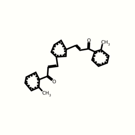 Cc1ccccc1C(=O)/C=C/c1cccc(/C=C/C(=O)c2ccccc2C)c1